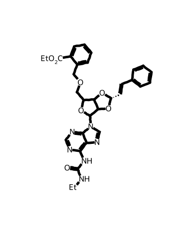 CCNC(=O)Nc1ncnc2c1ncn2C1OC(COCc2ccccc2C(=O)OCC)C2O[C@H](/C=C/c3ccccc3)OC21